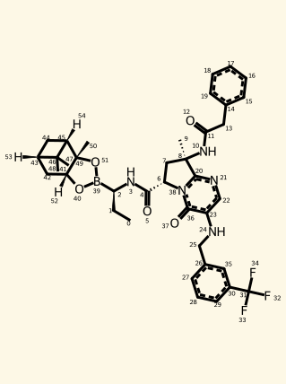 CC[C@H](NC(=O)[C@@H]1C[C@@](C)(NC(=O)Cc2ccccc2)c2ncc(NCc3cccc(C(F)(F)F)c3)c(=O)n21)B1O[C@@H]2C[C@@H]3C[C@@H](C3(C)C)[C@]2(C)O1